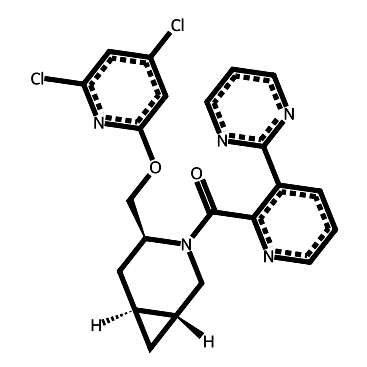 O=C(c1ncccc1-c1ncccn1)N1C[C@@H]2C[C@H]2C[C@H]1COc1cc(Cl)cc(Cl)n1